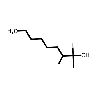 CCCCCCC(I)C(O)(I)I